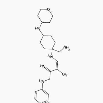 N=C(CNc1ccnc(F)c1)/C(O)=C\NC1(CN)CCC(NC2CCOCC2)CC1